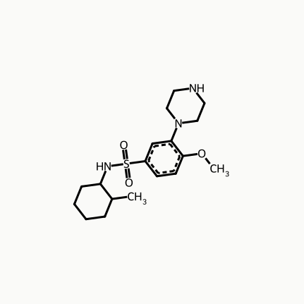 COc1ccc(S(=O)(=O)NC2CCCCC2C)cc1N1CCNCC1